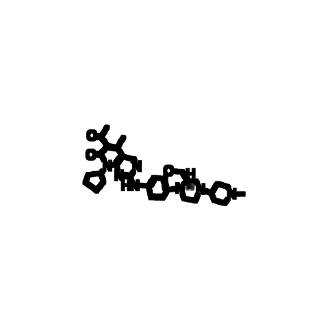 CC(=O)c1c(C)c2cnc(Nc3ccc4c(c3)OC[C@H]3CN(C5CCN(C)CC5)CCN43)nc2n(C2CCCC2)c1=O